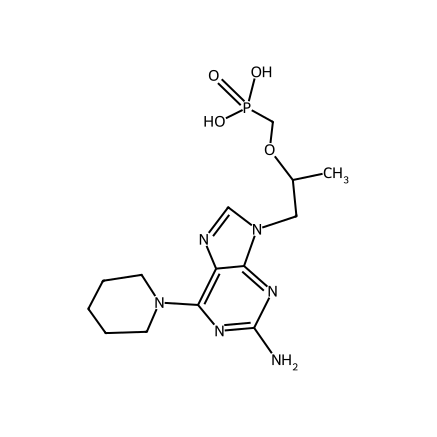 CC(Cn1cnc2c(N3CCCCC3)nc(N)nc21)OCP(=O)(O)O